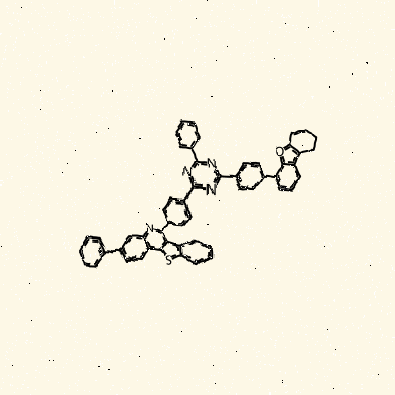 C1=Cc2oc3c(-c4ccc(-c5nc(-c6ccccc6)nc(-c6ccc(-c7nc8cc(-c9ccccc9)ccc8c8sc9ccccc9c78)cc6)n5)cc4)cccc3c2CC1